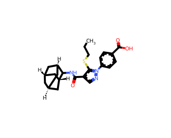 CCCSc1c(C(=O)NC2[C@H]3C[C@@H]4C[C@@H](C[C@H]2C4)C3)cnn1-c1ccc(C(=O)O)cc1